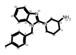 Cc1ccc(Cn2c(N3CCCC(N)C3)nc3ccccc32)cc1